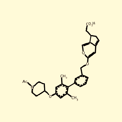 CC(=O)N1CCC(Oc2cc(C)c(-c3cccc(COC4=CC5=CCC(CC(=O)O)C5=CO4)c3)c(C)c2)CC1